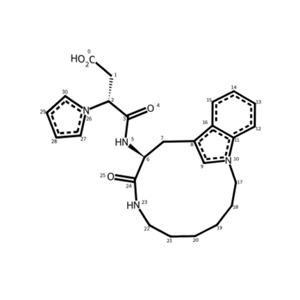 O=C(O)C[C@H](C(=O)N[C@H]1Cc2cn(c3ccccc23)CCCCCCNC1=O)n1cccc1